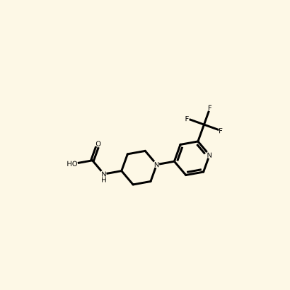 O=C(O)NC1CCN(c2ccnc(C(F)(F)F)c2)CC1